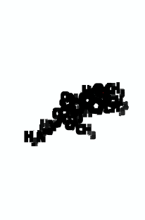 CC(=O)O[C@@H]1C[C@@]23COC[C@@](C)([C@@H]2CC[C@H]2C3=CC[C@@]3(C)[C@H](C(=O)O)[C@@](C)([C@H](C)C(C)C)CC[C@]23C)[C@H]1OC(=O)CNCCN